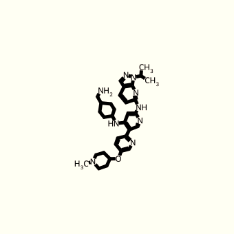 CC(C)n1ncc2ccc(Nc3cc(NC4CCC(CN)CC4)c(-c4ccc(OC5CCN(C)CC5)cn4)cn3)nc21